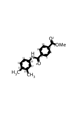 COC(=O)c1ccc(C(=O)Nc2ccc(C)c(C)c2)cc1